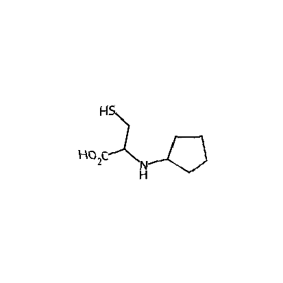 O=C(O)C(CS)NC1CCCC1